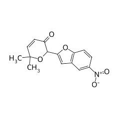 CC1(C)C=CC(=O)C(c2cc3cc([N+](=O)[O-])ccc3o2)O1